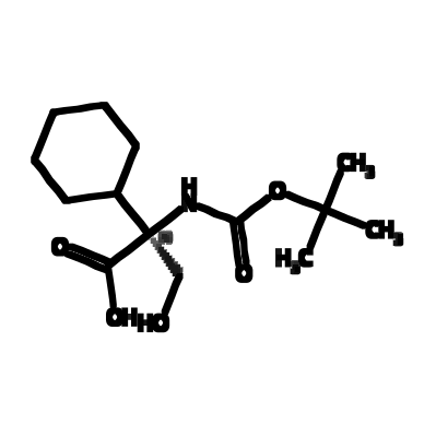 CC(C)(C)OC(=O)N[C@@](CO)(C(=O)O)C1CCCCC1